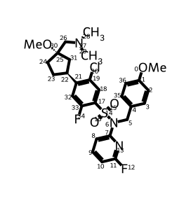 COc1ccc(CN(c2cccc(F)n2)S(=O)(=O)c2cc(Cl)c([C@H]3CC[C@](CN(C)C)(OC)C3)cc2F)cc1